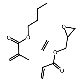 C=C.C=C(C)C(=O)OCCCC.C=CC(=O)OCC1CO1